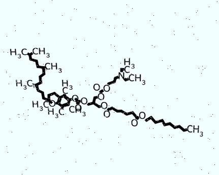 CCCCCCCCCCOC(=O)CCCCCC(=O)OCC(COC(=O)OCCCN(CC)CC)COC(=O)Oc1c(C)c(C)c2c(c1C)CC[C@@](C)(CCC[C@H](C)CCC[C@H](C)CCCC(C)C)O2